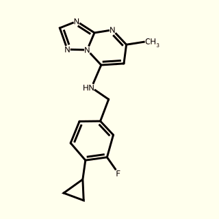 Cc1cc(NCc2ccc(C3CC3)c(F)c2)n2ncnc2n1